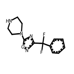 FC(F)(c1ccccc1)c1noc(N2CCNCC2)n1